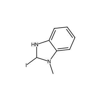 CN1c2ccccc2NC1I